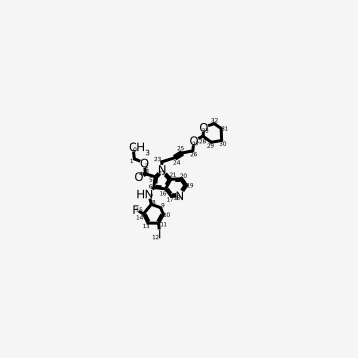 CCOC(=O)c1c(NC2CC=C(I)C=C2F)c2cnccc2n1CC#CCOC1CCCCO1